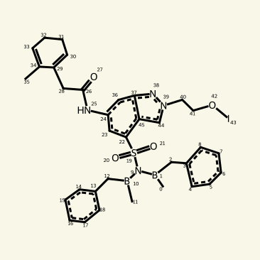 CB(Cc1ccccc1)N(B(C)Cc1ccccc1)S(=O)(=O)c1cc(NC(=O)CC2=CCCC=C2C)cc2nn(CCOI)cc12